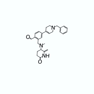 C=C1NC(=O)CCC1N(C)Cc1cc(C2=CCN(Cc3ccccc3)CC2)ccc1C=O